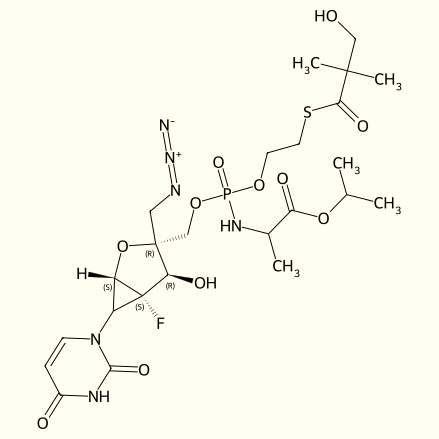 CC(C)OC(=O)C(C)NP(=O)(OCCSC(=O)C(C)(C)CO)OC[C@@]1(CN=[N+]=[N-])O[C@H]2C(n3ccc(=O)[nH]c3=O)[C@]2(F)[C@@H]1O